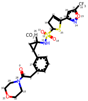 O=C(Cc1cccc(C2CC2(NS(=O)(=O)C2CC=C(c3cc(C(F)(F)F)on3)S2)C(=O)O)c1)N1CCOCC1